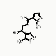 CC(CCC(C)c1ccnn1C)c1c[nH]nc1C(F)(F)F